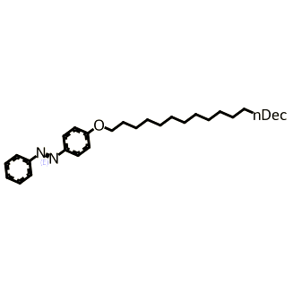 CCCCCCCCCCCCCCCCCCCCCCOc1ccc(/N=N/c2ccccc2)cc1